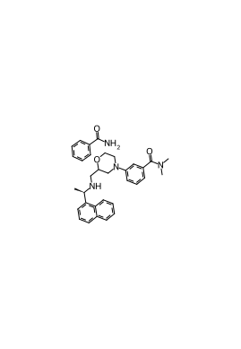 C[C@@H](NCC1CN(c2cccc(C(=O)N(C)C)c2)CCO1)c1cccc2ccccc12.NC(=O)c1ccccc1